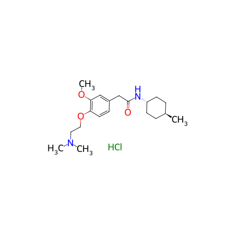 COc1cc(CC(=O)N[C@H]2CC[C@H](C)CC2)ccc1OCCN(C)C.Cl